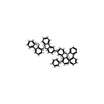 c1ccc(-c2ccccc2-n2c3ccc(-c4ccc5c(c4)c4ccccc4n5-c4cccc5c4oc4ccccc45)cc3c3c(-c4ccccc4)cccc32)cc1